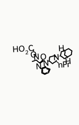 CCC[C@H]1C[C@@H](n2c(=O)c(/C(C)=N/OCC(=O)O)nc3ccccc32)CCN1[C@H]1C[C@@H]2CCC[C@@H](C2)C1